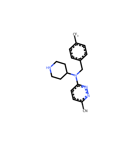 N#Cc1ccc(N(Cc2ccc(C(F)(F)F)cc2)C2CCNCC2)nn1